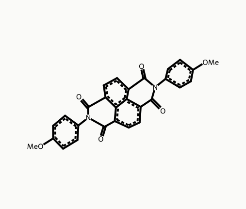 COc1ccc(N2C(=O)c3ccc4c5c(ccc(c35)C2=O)C(=O)N(c2ccc(OC)cc2)C4=O)cc1